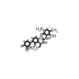 CCOC(=O)CC(NC(=O)Nc1c(O)c(C)cn(C)c1=O)c1cccc(-c2ccc(F)c(Cl)c2)c1F